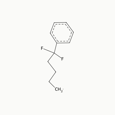 [CH2]CCCC(F)(F)c1ccccc1